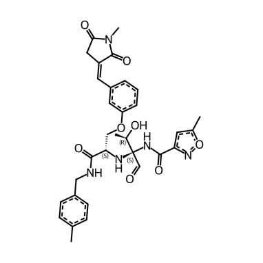 Cc1ccc(CNC(=O)[C@H](COc2cccc(C=C3CC(=O)N(C)C3=O)c2)N[C@](C=O)(NC(=O)c2cc(C)on2)[C@@H](C)O)cc1